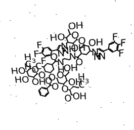 CCC[C@H](OC1C(OC(=O)c2ccccc2)[C@H](O[C@H]2CC(C(=O)NCCNC(=O)C3CC(n4cc(-c5cc(F)c(F)c(F)c5)nn4)C(O)[C@H](O[C@@H]4OC(CO)[C@H](O)C(n5cc(-c6cc(F)c(F)c(F)c6)nn5)C4O)C3)CC(C)C2O[C@@H]2OC(C)[C@@H](O)C(O)C2O)OC(CO)[C@@H]1O)C(=O)O